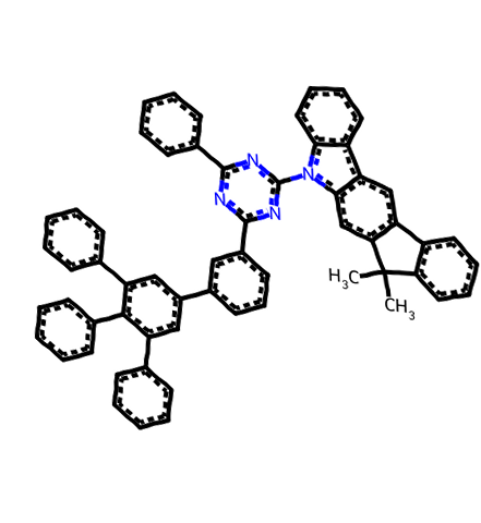 CC1(C)c2ccccc2-c2cc3c4ccccc4n(-c4nc(-c5ccccc5)nc(-c5cccc(-c6cc(-c7ccccc7)c(-c7ccccc7)c(-c7ccccc7)c6)c5)n4)c3cc21